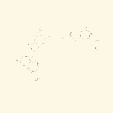 CNC(=O)c1cc(NC(=O)OCCOc2cc3sc(-c4cc(C)cc5nc(OC)cnc45)nc3cc2F)ccn1